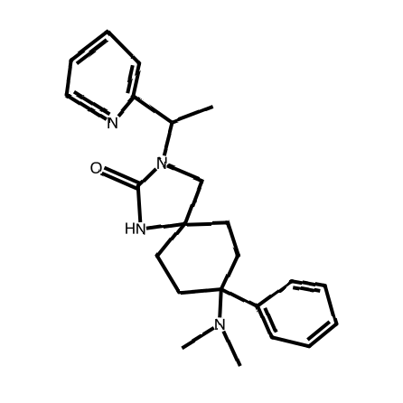 CC(c1ccccn1)N1CC2(CCC(c3ccccc3)(N(C)C)CC2)NC1=O